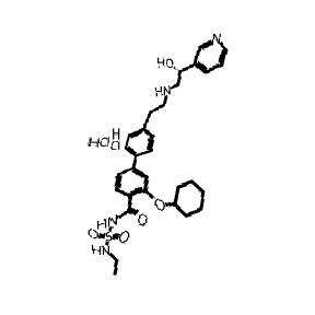 CCNS(=O)(=O)NC(=O)c1ccc(-c2ccc(CCNC[C@H](O)c3cccnc3)cc2)cc1OC1CCCCC1.Cl.Cl